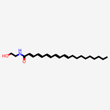 CCCCCCCCC/C=C/C=C/C=C/C=C/C=C/C(=O)NCCO